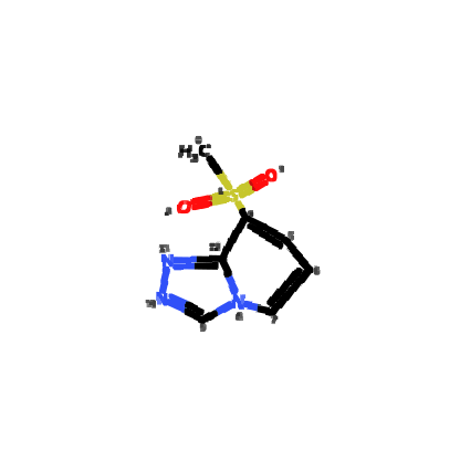 CS(=O)(=O)c1cccn2[c]nnc12